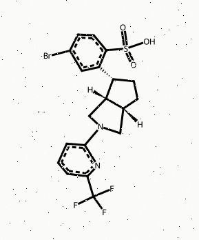 O=S(=O)(O)c1ccc(Br)cc1[C@@H]1CC[C@@H]2CN(c3cccc(C(F)(F)F)n3)C[C@@H]21